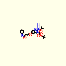 CC(C)C(=O)NC1=Nc2ccc(OCCCC(=O)N(C)C3CCCCC3)cc2CN1CC(=O)OCC(C)(C)C